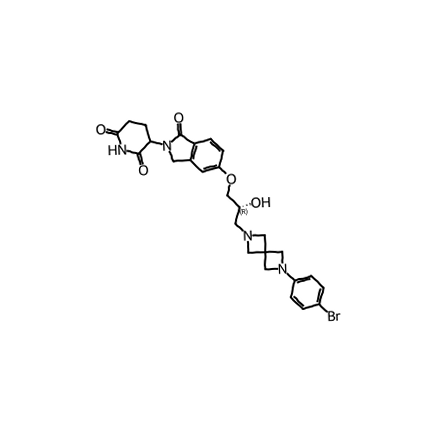 O=C1CCC(N2Cc3cc(OC[C@H](O)CN4CC5(C4)CN(c4ccc(Br)cc4)C5)ccc3C2=O)C(=O)N1